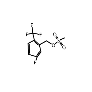 CS(=O)(=O)OCc1cc(F)ccc1C(F)(F)F